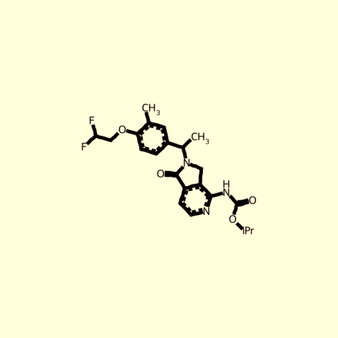 Cc1cc(C(C)N2Cc3c(ccnc3NC(=O)OC(C)C)C2=O)ccc1OCC(F)F